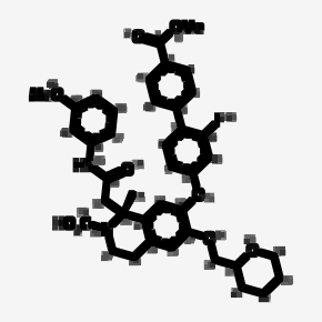 COC(=O)c1ccc(-c2ccc(Oc3cc4c(cc3OCC3CCCCO3)CCN(C(=O)O)[C@]4(C)CC(=O)Nc3cccc(OC)c3)cc2F)cc1